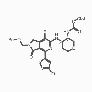 CCc1cc(-c2nc(N[C@@H]3CCOC[C@@H]3NC(=O)OC(C)(C)C)c(F)c3c2C(=O)N(COC(C)(C)C)C3)sn1